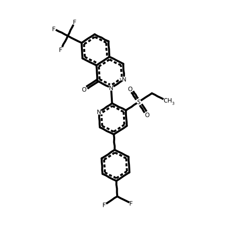 CCS(=O)(=O)c1cc(-c2ccc(C(F)F)cc2)cnc1-n1ncc2ccc(C(F)(F)F)cc2c1=O